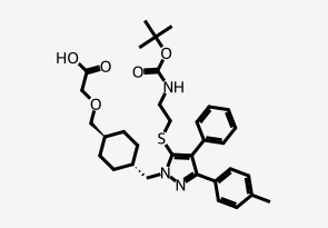 Cc1ccc(-c2nn(C[C@H]3CC[C@H](COCC(=O)O)CC3)c(SCCNC(=O)OC(C)(C)C)c2-c2ccccc2)cc1